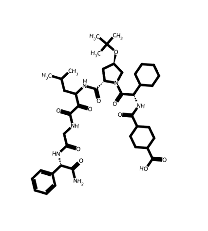 CC(C)CC(NC(=O)[C@@H]1C[C@@H](OC(C)(C)C)CN1C(=O)[C@@H](NC(=O)C1CCC(C(=O)O)CC1)C1CCCCC1)C(=O)C(=O)NCC(=O)N[C@H](C(N)=O)c1ccccc1